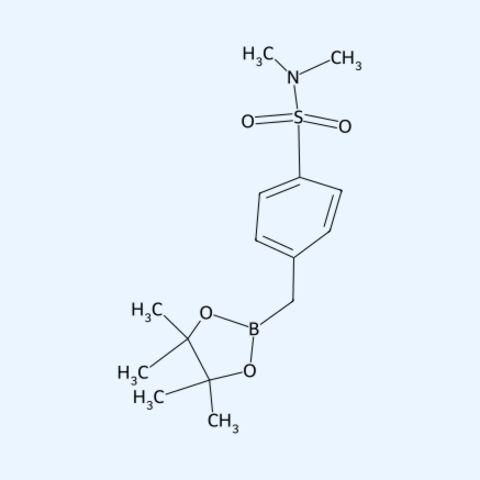 CN(C)S(=O)(=O)c1ccc(CB2OC(C)(C)C(C)(C)O2)cc1